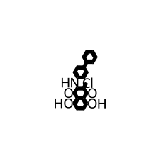 O=C1C(Cl)=C(Nc2ccc(-c3ccccc3)cc2)C(=O)c2c(O)ccc(O)c21